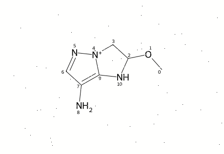 COC1C[N+]2N=CC(N)=C2N1